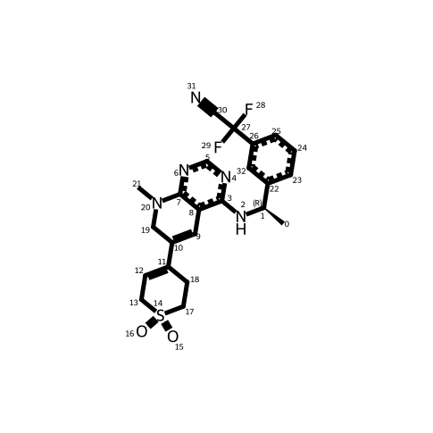 C[C@@H](Nc1ncnc2c1C=C(C1=CCS(=O)(=O)CC1)CN2C)c1cccc(C(F)(F)C#N)c1